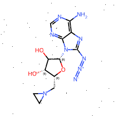 [N-]=[N+]=Nc1nc2c(N)ncnc2n1[C@@H]1O[C@H](CN2CC2)[C@H](O)C1O